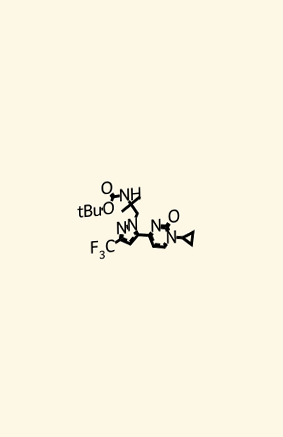 CC(C)(Cn1nc(C(F)(F)F)cc1-c1ccn(C2CC2)c(=O)n1)NC(=O)OC(C)(C)C